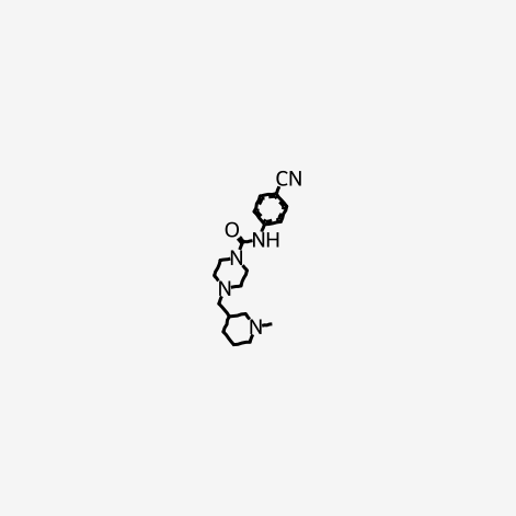 CN1CCCC(CN2CCN(C(=O)Nc3ccc(C#N)cc3)CC2)C1